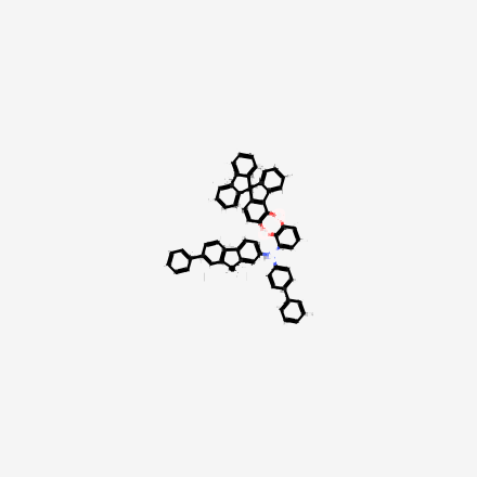 CC1(C)c2cc(-c3ccccc3)ccc2-c2ccc(N(c3ccc(-c4ccccc4)cc3)c3cccc4c3Oc3ccc5c(c3O4)-c3ccccc3C53c4ccccc4-c4ccccc43)cc21